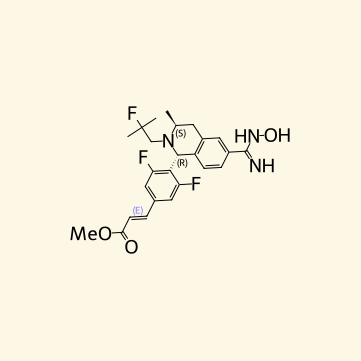 COC(=O)/C=C/c1cc(F)c([C@H]2c3ccc(C(=N)NO)cc3C[C@H](C)N2CC(C)(C)F)c(F)c1